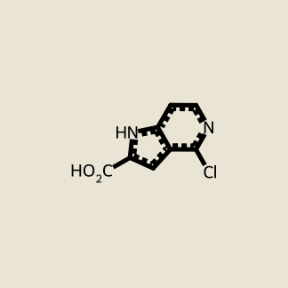 O=C(O)c1cc2c(Cl)nccc2[nH]1